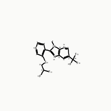 Cn1c(-c2ccncc2SCC(F)F)nc2cc(C(F)(F)F)cnc21